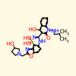 CC(C)CNn1c(=O)c(C2=NS(O)(O)c3c(ccc4oc(CN5CCC(O)C5)nc34)N2)c(O)c2ccccc21